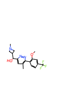 COc1cc(C(F)(F)F)ccc1-c1nnc(C(O)C2CN(C)C2)cc1C